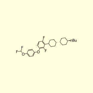 CCCC[C@H]1CC[C@H](C2CCC(c3c(F)c[c]c(Oc4ccc(OC(F)F)cc4)c3F)CC2)CC1